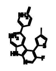 C=C/C=C\C(=C/N)C(=C)/C=c1\c(=C/N)[nH]c2ncc(F)c(-c3cc(C)cs3)c12